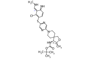 CN/C=C1\C(=N)C=CC(Sc2cnc(N3CCC4(CC3)CO[C@@H](C)[C@H]4NC(=O)OC(C)(C)C)cn2)=C1Cl